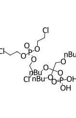 CCCCOCC(OCCCC)(OCCCC)OP(=O)(O)O.O=P(OCCCl)(OCCCl)OCCCl